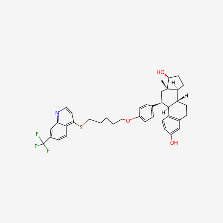 C[C@]12C[C@H](c3ccc(OCCCCCSc4ccnc5cc(C(F)(F)F)ccc45)cc3)[C@@H]3c4ccc(O)cc4CC[C@H]3[C@@H]1CC[C@@H]2O